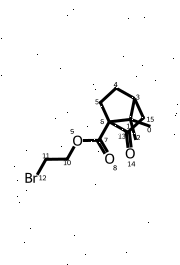 CC1(C)C2CCC1(C(=O)OCCBr)C(=O)C2